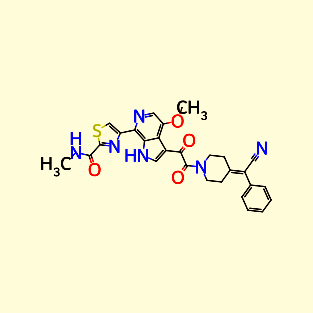 CNC(=O)c1nc(-c2ncc(OC)c3c(C(=O)C(=O)N4CCC(=C(C#N)c5ccccc5)CC4)c[nH]c23)cs1